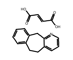 O=C(O)/C=C/C(=O)O.c1ccc2c(c1)CCc1cccnc1C2